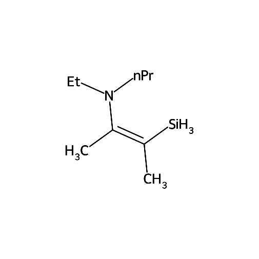 CCCN(CC)C(C)=C(C)[SiH3]